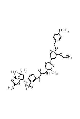 CCOc1cc(-c2ncc(NC(=O)Nc3ccc(C(C)(COC(N)=O)CC(C)(C)C)c(C(F)(F)F)c3)c(C)n2)cnc1OCc1ccc(OC)cc1